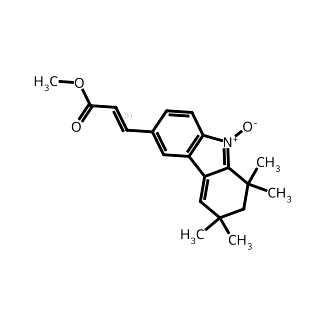 COC(=O)/C=C/c1ccc2c(c1)C1=CC(C)(C)CC(C)(C)C1=[N+]2[O-]